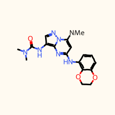 CNc1cc(Nc2cccc3c2OCCO3)nc2c(NC(=O)N(C)C)cnn12